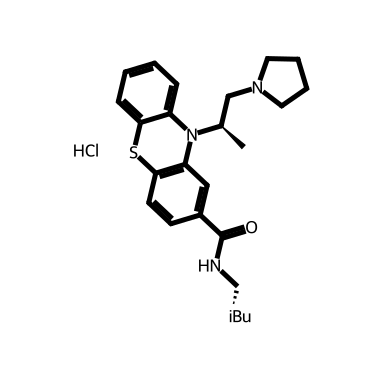 CC[C@@H](C)CNC(=O)c1ccc2c(c1)N([C@H](C)CN1CCCC1)c1ccccc1S2.Cl